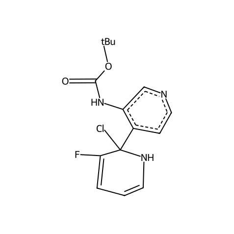 CC(C)(C)OC(=O)Nc1cnccc1C1(Cl)NC=CC=C1F